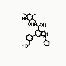 Cc1cc(C)c(CNC(O)c2cc(-c3cccc(CO)c3)cc3c2cnn3C2CCCC2)c(=O)[nH]1